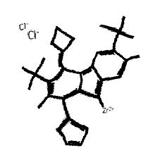 Cc1cc2c(cc1C(C)(C)C)=c1c(c(C3=CC=CC3)c(C)c(C(C)(C)C)c1=C1CCC1)[C]=2[Zr+2].[Cl-].[Cl-]